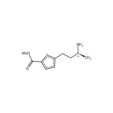 COC(=O)c1ccc(CC[C@H](C)N)s1